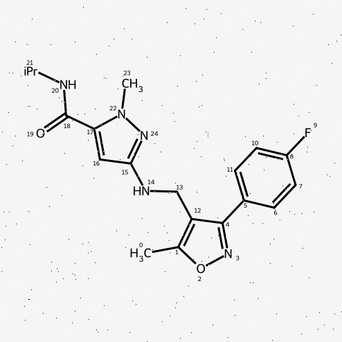 Cc1onc(-c2ccc(F)cc2)c1CNc1cc(C(=O)NC(C)C)n(C)n1